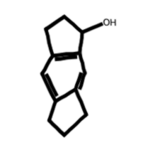 OC1CCc2cc3c(cc21)CCC3